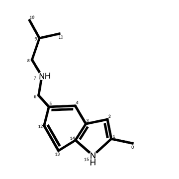 Cc1cc2cc(CNCC(C)C)ccc2[nH]1